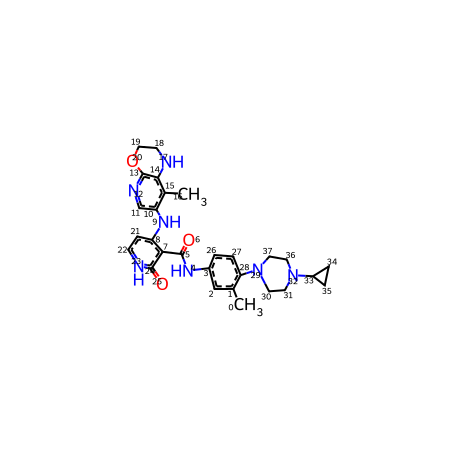 Cc1cc(NC(=O)c2c(Nc3cnc4c(c3C)NCCO4)cc[nH]c2=O)ccc1N1CCN(C2CC2)CC1